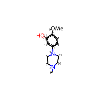 COc1ccc(N2CCN(C)CC2)cc1O